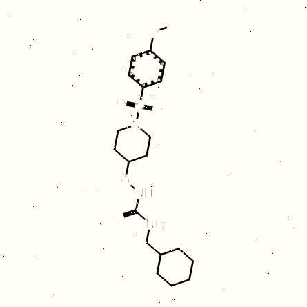 O=C(NCC1CCCCC1)NOC1CCN(S(=O)(=O)c2ccc(OC(F)(F)F)cc2)CC1